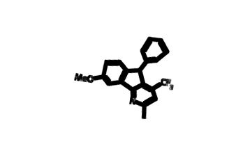 COc1ccc2c(c1)-c1nc(C)cc(C(F)(F)F)c1C2c1ccccc1